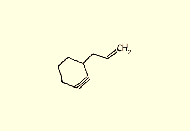 C=CCC1C#CCCC1